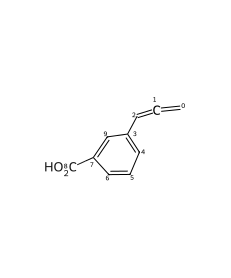 C=C=Cc1cccc(C(=O)O)c1